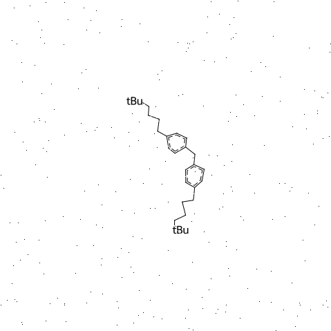 CC(C)(C)CCCCc1ccc(Cc2ccc(CCCCC(C)(C)C)cc2)cc1